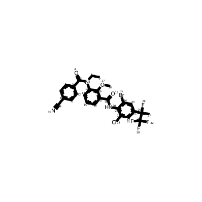 CCN(C(=O)c1ccc(C#N)cc1)c1cccc(C(=O)Nc2c(Cl)cc(C(C)(F)C(F)(F)F)cc2Br)c1OC